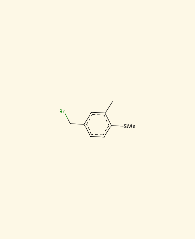 CSc1ccc(CBr)cc1C